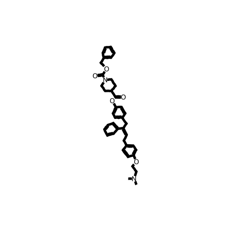 CN(C)CCOc1ccc(CC=C(Cc2ccc(OC(=O)C3CCN(C(=O)OCc4ccccc4)CC3)cc2)c2ccccc2)cc1